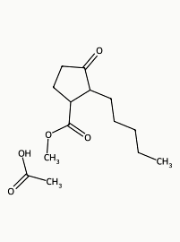 CC(=O)O.CCCCCC1C(=O)CCC1C(=O)OC